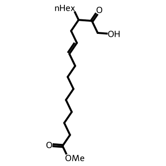 CCCCCCC(CC=CCCCCCCCC(=O)OC)C(=O)CO